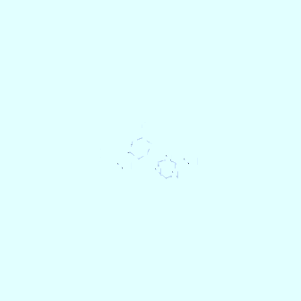 Nc1ncnc(-c2cc(Cl)cc([C@@H]3COCCN3)c2)n1